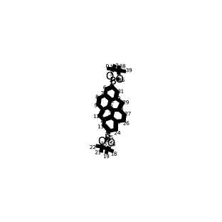 CC1(C)OB(c2cc3ccc4cc5cc(B6OC(C)(C)C(C)(C)O6)cc6ccc7cc(c2)c3c4c7c65)OC1(C)C